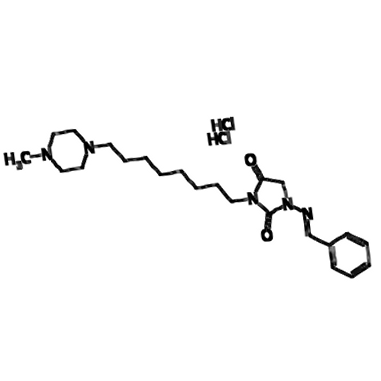 CN1CCN(CCCCCCCCN2C(=O)CN(N=Cc3ccccc3)C2=O)CC1.Cl.Cl